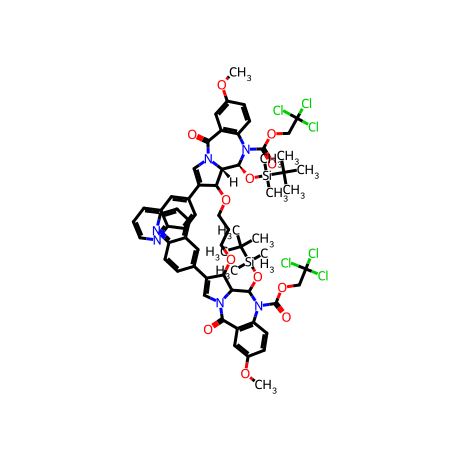 COc1ccc2c(c1)C(=O)N1C=C(c3ccc4ncccc4c3)C(OCCCOC3C(c4ccc5ncccc5c4)=CN4C(=O)c5cc(OC)ccc5N(C(=O)OCC(Cl)(Cl)Cl)[C@@H](O[Si](C)(C)C(C)(C)C)[C@H]34)C1C(O[Si](C)(C)C(C)(C)C)N2C(=O)OCC(Cl)(Cl)Cl